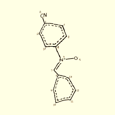 N#Cc1ccc([N+]([O-])=Cc2ccccc2)cc1